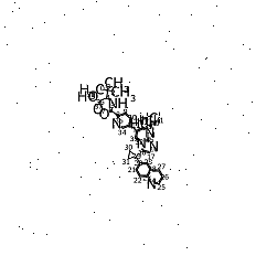 CC(C)(C)[C@H](NC(=O)c1ccc(-c2cnc3ncc(C4(c5ccc6ncccc6c5)CC4)n3c2)cn1)C(=O)O.Cl.Cl.Cl